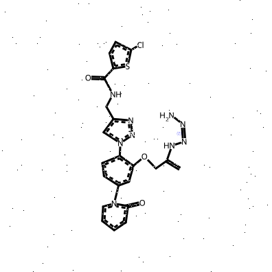 C=C(COc1cc(-n2ccccc2=O)ccc1-n1cc(CNC(=O)c2ccc(Cl)s2)nn1)N/N=N\N